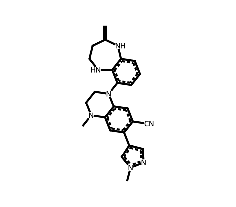 C=C1CCNc2c(cccc2N2CCN(C)c3cc(-c4cnn(C)c4)c(C#N)cc32)N1